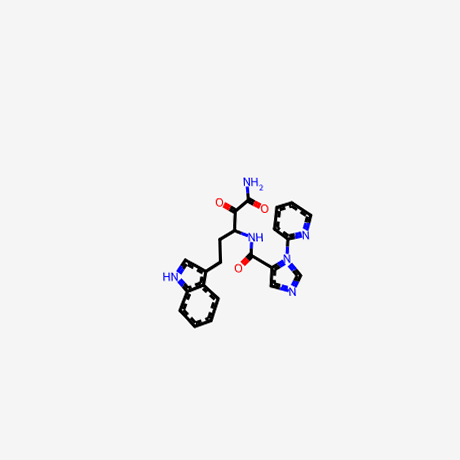 NC(=O)C(=O)C(CCc1c[nH]c2ccccc12)NC(=O)c1cncn1-c1ccccn1